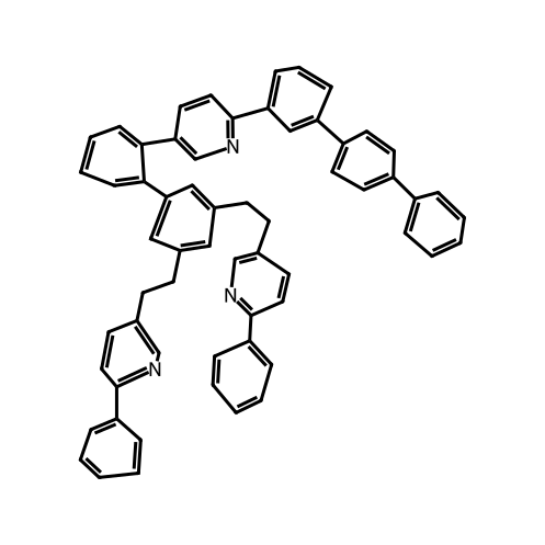 c1ccc(-c2ccc(-c3cccc(-c4ccc(-c5ccccc5-c5cc(CCc6ccc(-c7ccccc7)nc6)cc(CCc6ccc(-c7ccccc7)nc6)c5)cn4)c3)cc2)cc1